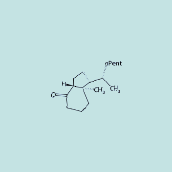 CCCCC[C@H](C)[C@H]1CC[C@H]2C(=O)CCC[C@]12C